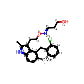 COc1ccc2[nH]c(C)c(CCO/N=C/CCO)c2c1Cc1ccccc1Cl